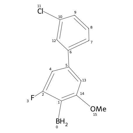 Bc1c(F)cc(-c2cccc(Cl)c2)cc1OC